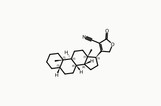 C[C@]12CCCC[C@H]1CC[C@H]1[C@H]3CC[C@H](C4=C(C#N)C(=O)OC4)[C@@]3(C)CC[C@@H]12